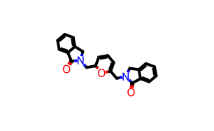 O=C1c2ccccc2CN1CC1=CC=CC(CN2Cc3ccccc3C2=O)O1